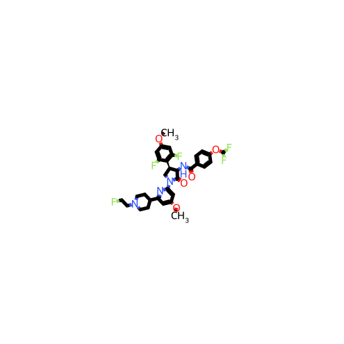 COc1cc(C2CCN(CCF)CC2)nc(N2C[C@@H](c3c(F)cc(OC)cc3F)C(NC(=O)c3ccc(OC(F)F)cc3)C2=O)c1